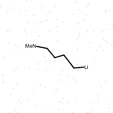 [Li][CH2]CCCNC